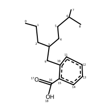 CCCC(CCC(C)C)Cc1ccccc1C(=O)O